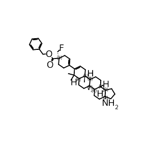 CC1(C)C(C2=CC[C@](CF)(C(=O)OCc3ccccc3)CC2)=CC[C@]2(C)[C@H]3CC[C@@H]4[C@H]5CCC[C@]5(N)CC[C@@]4(C)[C@]3(C)CC[C@@H]12